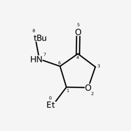 CCC1OCC(=O)C1NC(C)(C)C